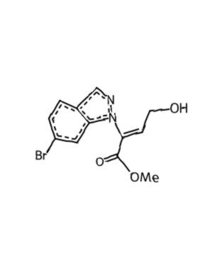 COC(=O)/C(=C/CO)n1ncc2ccc(Br)cc21